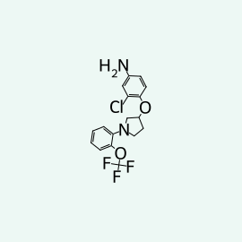 Nc1ccc(OC2CCN(c3ccccc3OC(F)(F)F)C2)c(Cl)c1